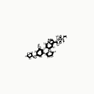 CCN(C)S(=O)(=O)NC(=O)c1cnn2ccc(N3CCC[C@@H]3c3cc(F)cc(O[C@@H]4CCOC4)c3)cc12